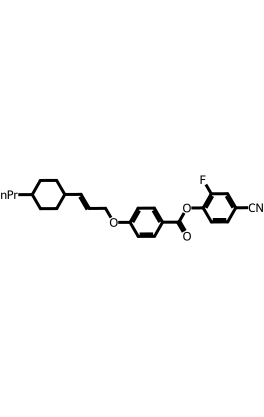 CCCC1CCC(C=CCOc2ccc(C(=O)Oc3ccc(C#N)cc3F)cc2)CC1